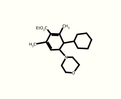 CCOC(=O)C1=C(C)C(C2CCCCC2)C(N2CCOCC2)C=C1C